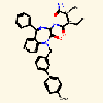 CCCC[C@H](C(N)=O)[C@@H](CC(C)C)C(=O)NC1N=C(c2ccccc2)c2ccccc2N(Cc2cccc(-c3ccc(OC)cc3)c2)C1=O